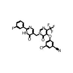 N#Cc1cc(Cl)cc(Oc2c(C(F)(F)F)ncn(Cc3cnc(-c4cccc(F)c4)[nH]c3=O)c2=O)c1